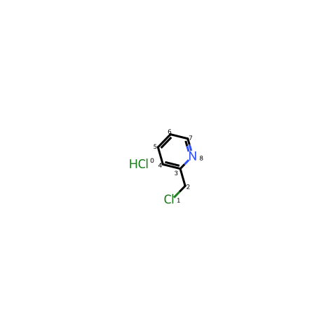 Cl.ClCc1ccccn1